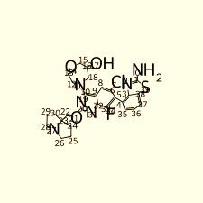 Nc1nc2c(-c3c(Cl)cc4c(N5CCOCC(O)C5)nc(OCC56CCCN5CCC6)nc4c3F)cccc2s1